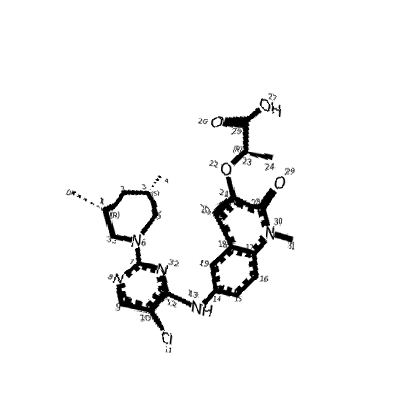 C[C@@H]1C[C@H](C)CN(c2ncc(Cl)c(Nc3ccc4c(c3)cc(O[C@H](C)C(=O)O)c(=O)n4C)n2)C1